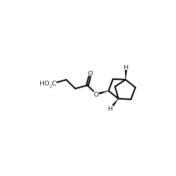 O=C(O)CCC(=O)O[C@H]1C[C@@H]2CC[C@H]1C2